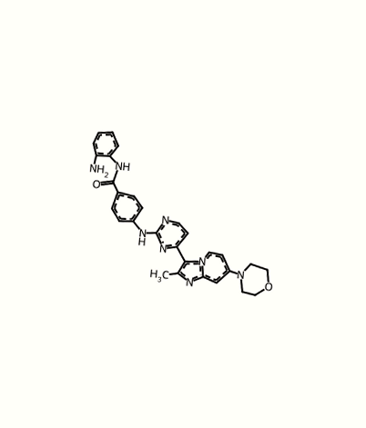 Cc1nc2cc(N3CCOCC3)ccn2c1-c1ccnc(Nc2ccc(C(=O)Nc3ccccc3N)cc2)n1